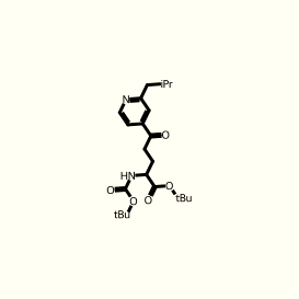 CC(C)Cc1cc(C(=O)CCC(NC(=O)OC(C)(C)C)C(=O)OC(C)(C)C)ccn1